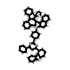 c1ccc(-c2cc(-c3cccc4oc5ccccc5c34)nc(-c3ccc(-n4c5ccc6ccccc6c5c5c6c(c7ccccc7c54)-c4ccccc4C64CCCCC4)cc3)n2)cc1